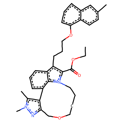 CCOC(=O)c1c(CCCOc2cccc3cc(C)ccc23)c2cccc3c2n1CCCCOCc1nn(C)c(C)c1-3